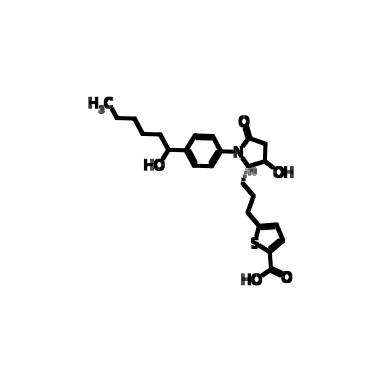 CCCCCC(O)c1ccc(N2C(=O)CC(O)[C@@H]2CCCc2ccc(C(=O)O)s2)cc1